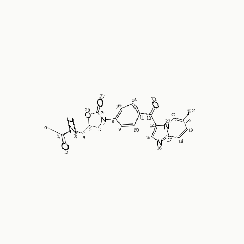 CC(=O)NC[C@H]1CN(c2ccc(C(=O)c3cnc4ccc(F)cn34)cc2)C(=O)O1